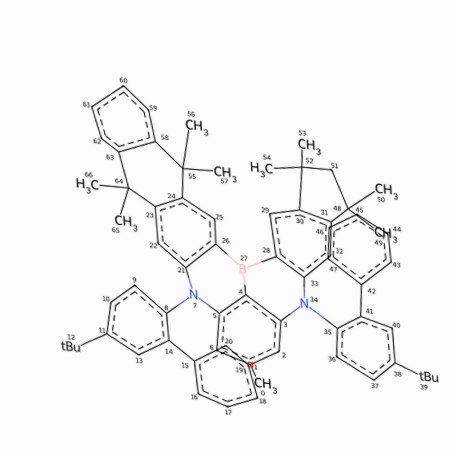 Cc1cc2c3c(c1)N(c1ccc(C(C)(C)C)cc1-c1ccccc1)c1cc4c(cc1B3c1cc3c(cc1N2c1ccc(C(C)(C)C)cc1-c1ccccc1)C(C)(C)CC3(C)C)C(C)(C)c1ccccc1C4(C)C